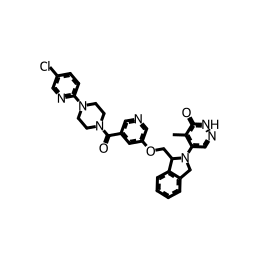 Cc1c(N2Cc3ccccc3C2COc2cncc(C(=O)N3CCN(c4ccc(Cl)cn4)CC3)c2)cn[nH]c1=O